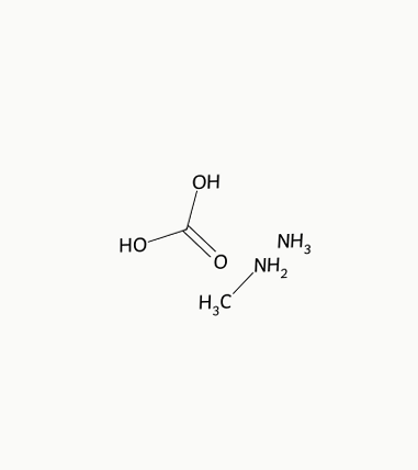 CN.N.O=C(O)O